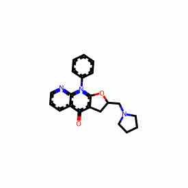 O=c1c2c(n(-c3ccccc3)c3ncccc13)OC(CN1CCCC1)C2